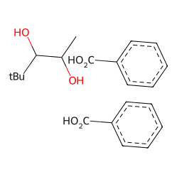 CC(O)C(O)C(C)(C)C.O=C(O)c1ccccc1.O=C(O)c1ccccc1